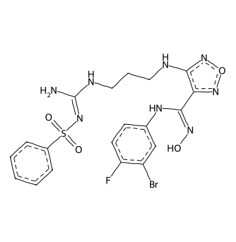 N/C(=N\S(=O)(=O)c1ccccc1)NCCCNc1nonc1/C(=N/O)Nc1ccc(F)c(Br)c1